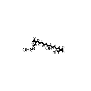 CCCC1(CCCCCC(O)CCCCCC2(CCOC=O)CC2)CC1